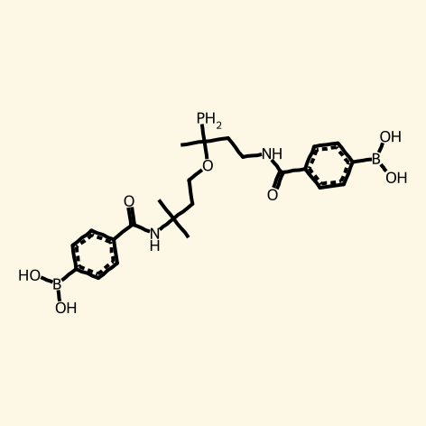 CC(C)(CCOC(C)(P)CCNC(=O)c1ccc(B(O)O)cc1)NC(=O)c1ccc(B(O)O)cc1